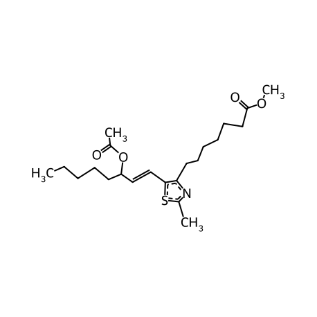 CCCCCC(C=Cc1sc(C)nc1CCCCCCC(=O)OC)OC(C)=O